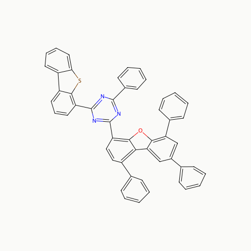 c1ccc(-c2cc(-c3ccccc3)c3oc4c(-c5nc(-c6ccccc6)nc(-c6cccc7c6sc6ccccc67)n5)ccc(-c5ccccc5)c4c3c2)cc1